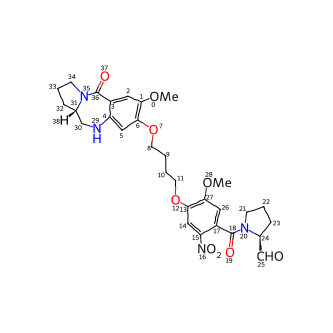 COc1cc2c(cc1OCCCCOc1cc([N+](=O)[O-])c(C(=O)N3CCC[C@H]3C=O)cc1OC)NC[C@@H]1CCCN1C2=O